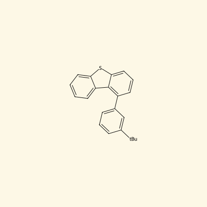 CC(C)(C)c1cccc(-c2cccc3sc4ccccc4c23)c1